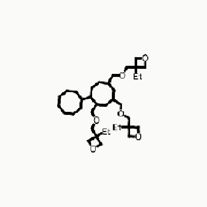 CCC1(COCC2CCC(C3CCCCCCC3)C(COCC3(CC)COC3)CC(COCC3(CC)COC3)C2)COC1